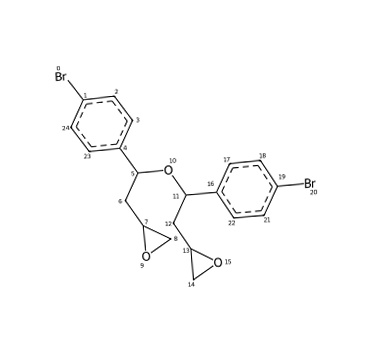 Brc1ccc(C(CC2CO2)OC(CC2CO2)c2ccc(Br)cc2)cc1